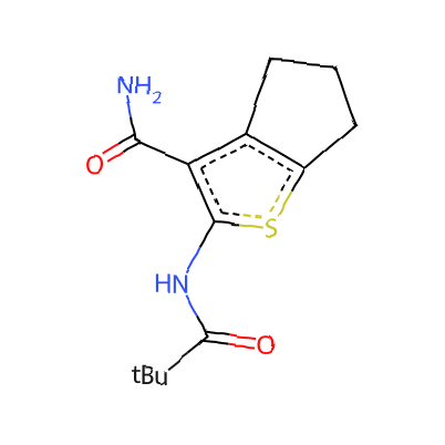 CC(C)(C)C(=O)Nc1sc2c(c1C(N)=O)CCC2